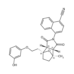 C[C@]12CC[C@](CCOc3cccc(O)c3)(O1)[C@@H]1C(=O)N(c3ccc(C#N)c4ccccc34)C(=O)[C@@H]12